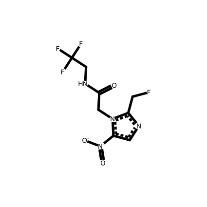 O=C(Cn1c([N+](=O)[O-])cnc1CF)NCC(F)(F)F